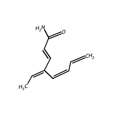 C=C\C=C/C(/C=C/C(N)=O)=C\C